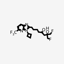 O=C(CCCCc1nc2ccc(C(F)(F)F)nc2n1C1CCC1)CC(O)(CF)CF